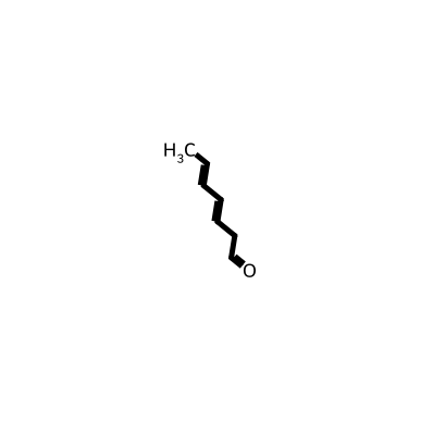 CC=CC=CCC=O